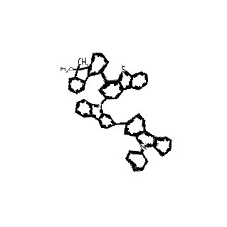 CC1(C)c2ccccc2-c2c(-c3cc(-n4c5ccccc5c5ccc(-c6ccc7c8ccccc8n(C8=CC=CCC8)c7c6)cc54)cc4c3sc3ccccc34)cccc21